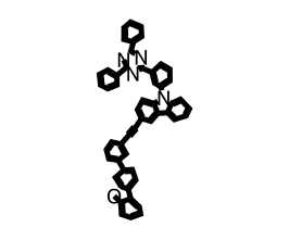 C(#Cc1ccc2c(c1)c1ccccc1n2-c1cccc(-c2nc(-c3ccccc3)nc(-c3ccccc3)n2)c1)c1cccc(-c2ccc3c(c2)oc2ccccc23)c1